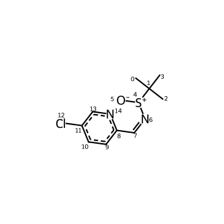 CC(C)(C)[S+]([O-])/N=C\c1ccc(Cl)cn1